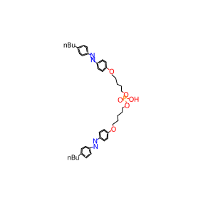 CCCCc1ccc(/N=N/c2ccc(OCCCCCOP(=O)(O)OCCCCCOc3ccc(/N=N/c4ccc(CCCC)cc4)cc3)cc2)cc1